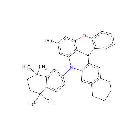 CC(C)(C)c1cc2c3c(c1)N(c1ccc4c(c1)C(C)(C)CCC4(C)C)c1cc4c(cc1B3c1ccccc1O2)CCCC4